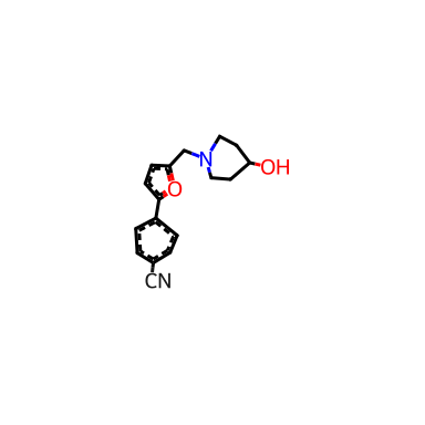 N#Cc1ccc(-c2ccc(CN3CCC(O)CC3)o2)cc1